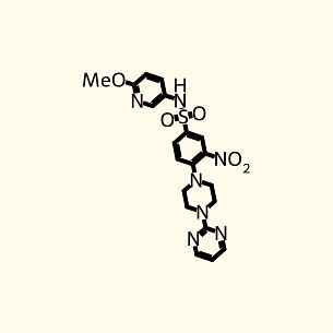 COc1ccc(NS(=O)(=O)c2ccc(N3CCN(c4ncccn4)CC3)c([N+](=O)[O-])c2)cn1